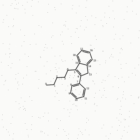 CCCCCC1=C(c2ccccc2)[CH]c2ccccc21